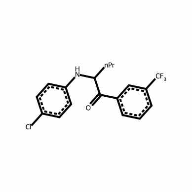 CCCC(Nc1ccc(Cl)cc1)C(=O)c1cccc(C(F)(F)F)c1